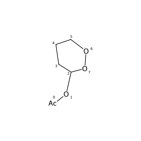 CC(=O)OC1CCCOO1